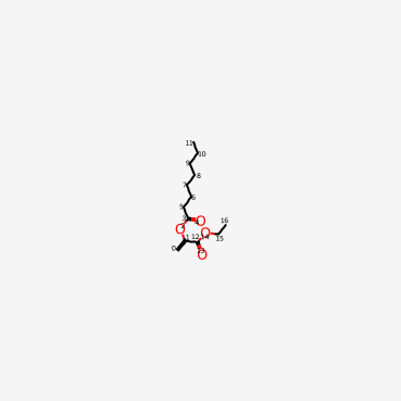 C=C(OC(=O)CCCCCCC)C(=O)OCC